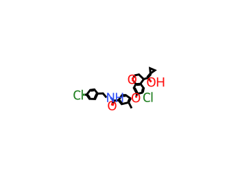 Cc1cc(C(=O)NCCc2ccc(Cl)cc2)ccc1Oc1cc2c(cc1Cl)C(C(O)=C1CC1)CCO2